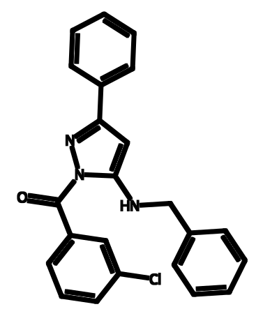 O=C(c1cccc(Cl)c1)n1nc(-c2ccccc2)cc1NCc1ccccc1